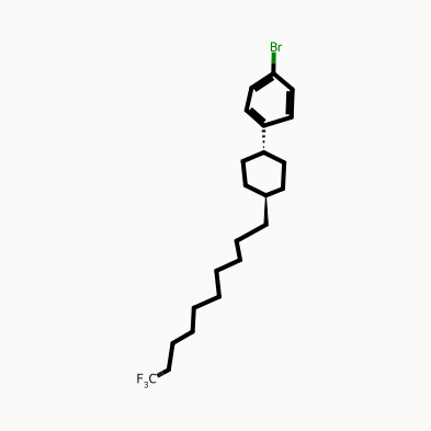 FC(F)(F)CCCCCCCCC[C@H]1CC[C@H](c2ccc(Br)cc2)CC1